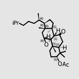 CC(=O)O[C@H]1CC[C@@]2(C)[C@@H](CC(=O)[C@@H]3[C@@]24O[C@@H]4C[C@]2(C)[C@@H]([C@H](C)CCCC(C)C)CC[C@@]32C)C1(C)C